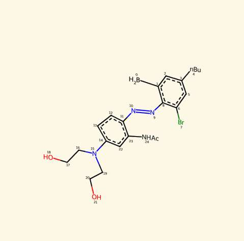 Bc1cc(CCCC)cc(Br)c1/N=N/c1ccc(N(CCO)CCO)cc1NC(C)=O